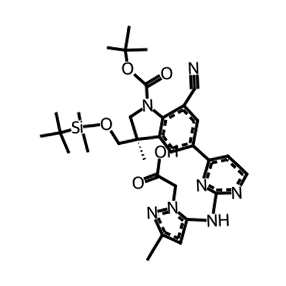 Cc1cc(Nc2nccc(-c3cc(C#N)c4c(c3)[C@@](C)(CO[Si](C)(C)C(C)(C)C)CN4C(=O)OC(C)(C)C)n2)n(CC(=O)O)n1